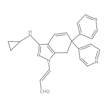 O=CC=Cn1nc(NC2CC2)c2c1CC(c1ccncc1)(c1ccncc1)C=C2